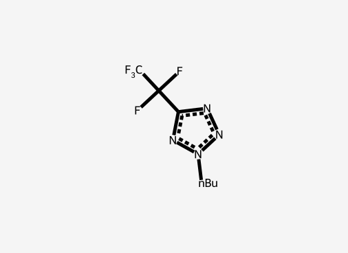 CCCCn1nnc(C(F)(F)C(F)(F)F)n1